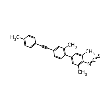 Cc1ccc(C#Cc2ccc(-c3cc(C)c(N=C=S)c(C)c3)c(C)c2)cc1